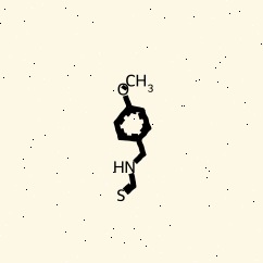 COc1ccc(CNC=S)cc1